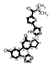 CN(C)C(=O)c1ccc(-c2cnc([C@@H]3CCc4cc(-c5cc(Cl)ccc5-n5cnnn5)cc(=O)n43)[nH]2)s1